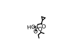 CCC(C)OP(=O)(O)CC(=O)C1CC1